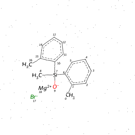 Cc1ccccc1[Si](C)([O-])c1ccccc1C.[Br-].[Mg+2]